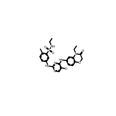 CCNS(=O)(=O)c1cc(Nc2ncc(Cl)c(Nc3ccc4c(c3)N(CC)C(=O)CO4)n2)ccc1C